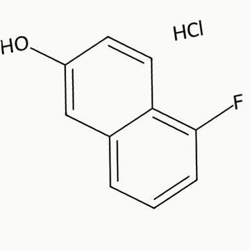 Cl.Oc1ccc2c(F)cccc2c1